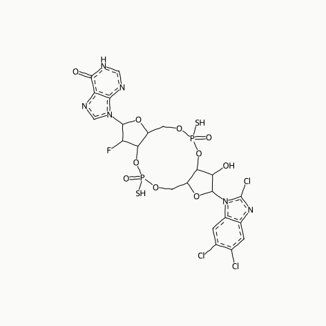 O=c1[nH]cnc2c1ncn2C1OC2COP(=O)(S)OC3C(COP(=O)(S)OC2C1F)OC(n1c(Cl)nc2cc(Cl)c(Cl)cc21)C3O